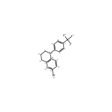 FC(F)(F)c1ccc(N2C[CH]Cc3nc(Br)ccc32)cc1